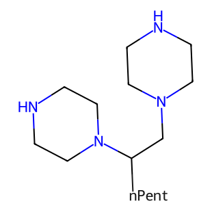 CCCCCC(CN1CCNCC1)N1CCNCC1